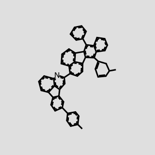 Cc1ccc(-c2ccc3c(c2)-c2cc(-c4ccc5c6c(cccc46)-c4c-5c(C5=CC=CC(C)C5)c5ccccc5c4-c4ccccc4)nc4cccc-3c24)cc1